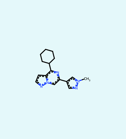 Cn1cc(-c2cn3nccc3c(C3CCCCC3)n2)cn1